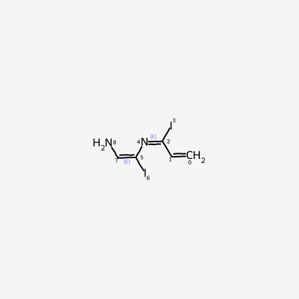 C=C/C(I)=N\C(I)=C/N